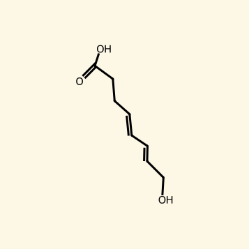 O=C(O)CC/C=C/C=C/CO